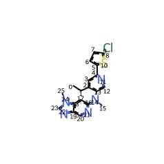 CCc1cc(-c2ccc(Cl)s2)ncc1N(C)c1cc2c(cn1)ncn2C